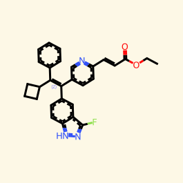 CCOC(=O)C=Cc1ccc(/C(=C(\c2ccccc2)C2CCC2)c2ccc3[nH]nc(F)c3c2)cn1